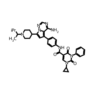 CC(C)C(C)N1CCC(c2cc(-c3ccc(NC(=O)c4cn(C5CC5)c(=O)n(-c5ccccc5)c4=O)cc3)c3c(N)ncnn23)CC1